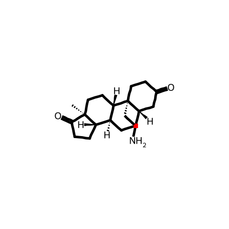 C[C@]12CC[C@H]3[C@@H](CC[C@H]4CC(=O)CC[C@@]43CCN)[C@@H]1CCC2=O